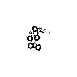 CCc1nc2cccc3c2n1-c1ccc(-n2c4ccccc4c4ccccc42)cc1P3(=O)c1ccccc1